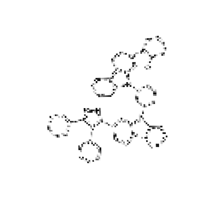 c1ccc(-c2nnc(-c3ccc4c5ccccc5n(-c5cccc(-n6c7ccccc7c7ccc8c9ccccc9oc8c76)c5)c4c3)n2-c2ccccc2)cc1